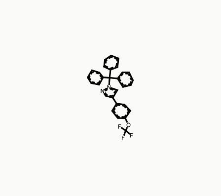 FC(F)(F)Oc1ccc(-c2cnn(C(c3ccccc3)(c3ccccc3)c3ccccc3)c2)cc1